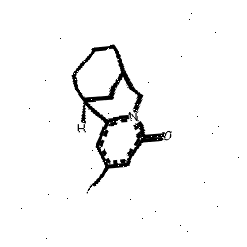 O=c1cc(I)cc2n1CC1CCC[C@@H]2C1